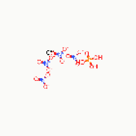 O=P(O)(O)O.O=[N+]([O-])[O-].O=[N+]([O-])[O-].O=[N+]([O-])[O-].O=[N+]([O-])[O-].[C+4]